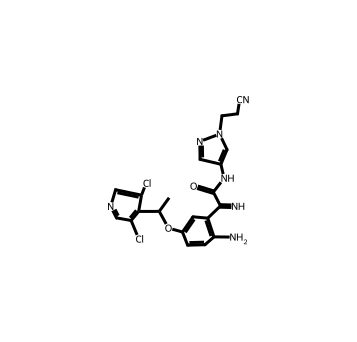 CC(Oc1ccc(N)c(C(=N)C(=O)Nc2cnn(CCC#N)c2)c1)c1c(Cl)cncc1Cl